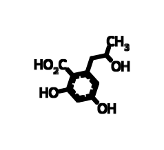 CC(O)Cc1cc(O)cc(O)c1C(=O)O